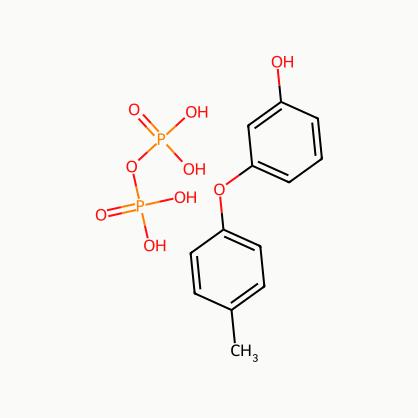 Cc1ccc(Oc2cccc(O)c2)cc1.O=P(O)(O)OP(=O)(O)O